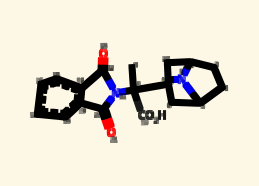 CN1C2CCC1CC(C(C)(C(=O)O)N1C(=O)c3ccccc3C1=O)C2